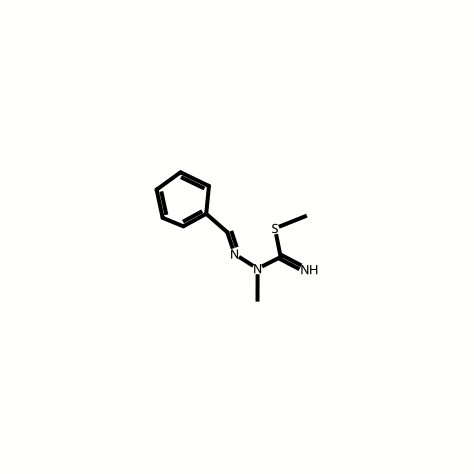 CSC(=N)N(C)N=Cc1ccccc1